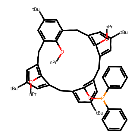 CCCOc1c2cc(C(C)(C)C)cc1Cc1cc(C(C)(C)C)cc(c1OCCC)Cc1cc(C(C)(C)C)cc(c1OP(c1ccccc1)c1ccccc1)Cc1cc(C(C)(C)C)cc(c1OCCC)C2